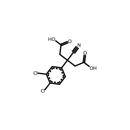 N#CC(CC(=O)O)(CC(=O)O)c1ccc(Cl)c(Cl)c1